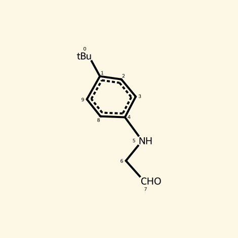 CC(C)(C)c1ccc(NCC=O)cc1